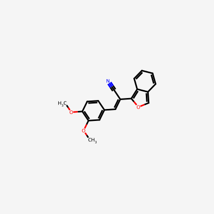 COc1ccc(C=C(C#N)c2occ3ccccc23)cc1OC